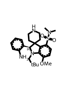 COc1ccc(S(=O)(=O)N(C)C)c2c1N(CC(C)(C)C)[C@@H](c1ccccc1N)C21CCNCC1